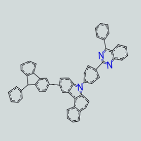 c1ccc(-c2nc(-c3ccc(-n4c5ccc(-c6ccc7c(c6)-c6ccccc6C7c6ccccc6)cc5c5c6ccccc6ccc54)cc3)nc3ccccc23)cc1